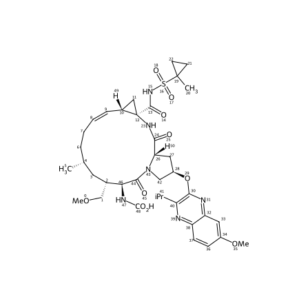 COC[C@@H]1C[C@H](C)CC/C=C\[C@@H]2C[C@@]2(C(=O)NS(=O)(=O)C2(C)CC2)NC(=O)[C@@H]2C[C@@H](Oc3nc4cc(OC)ccc4nc3C(C)C)CN2C(=O)[C@H]1NC(=O)O